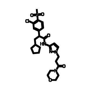 CS(=O)(=O)c1ccc(C(CC2CCCC2)C(=O)Nc2ccn(CCC(=O)N3CCOCC3)n2)cc1Cl